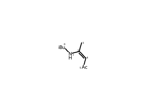 CCC(C)N/C(C)=C\C(C)=O